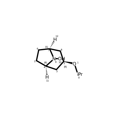 CC(C)O[C@H]1C[C@H]2CC[C@@H](C1)N2O